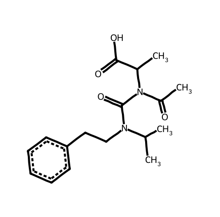 CC(=O)N(C(=O)N(CCc1ccccc1)C(C)C)C(C)C(=O)O